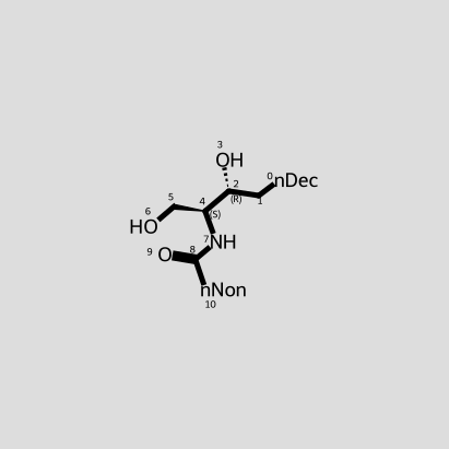 CCCCCCCCCCC[C@@H](O)[C@H](CO)NC(=O)CCCCCCCCC